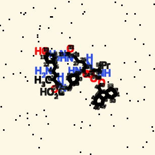 CC(CC(N)Cc1ccc(O)cc1)C(=O)NN(Cc1ccc(NC(=O)C(CCCNC(N)=O)NC(=O)C(NC(=O)OCC2c3ccccc3-c3ccccc32)C(C)C)cc1)C(=O)O